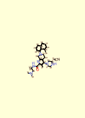 Cc1c(C(=O)N[C@H](C)CN(C)C)nc2c(c1N1CCN[C@@H](CC#N)C1)CCN(c1cccc3cccc(C)c13)C2